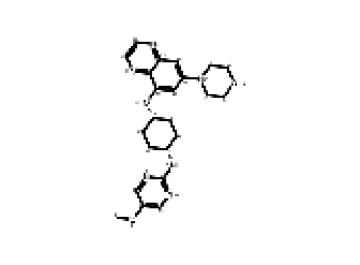 COc1cnc(N[C@H]2CC[C@@H](Oc3cc(N4CCOCC4)cc4nccnc34)CC2)nc1